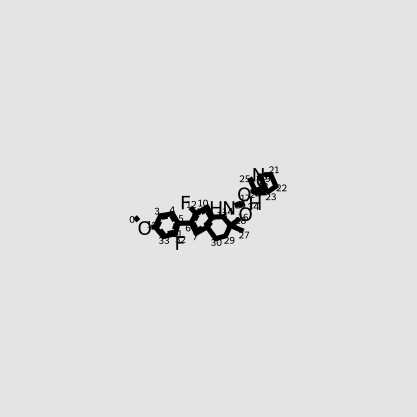 COc1ccc(-c2cc3c(cc2F)[C@H](NC(=O)O[C@H]2CN4CCC2CC4)C(C)(C)CC3)c(F)c1